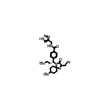 CC(C)CC1=NC2(CCC(C(C)(C)C)CC2)N([C@H](CCC(C)(C)C)c2ccc(C(=O)NCc3nn[nH]n3)cc2)C1=O